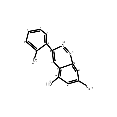 CCc1ccccc1-c1cc2c(O)cc(C)cc2nn1